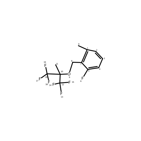 Cc1cccc(F)c1COC(C)(C(F)(F)F)C(F)(F)F